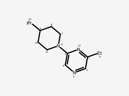 CCc1cncc(N2CCC(C(C)C)CC2)n1